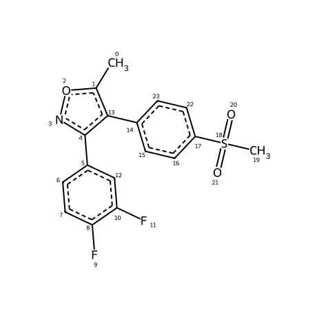 Cc1onc(-c2ccc(F)c(F)c2)c1-c1ccc(S(C)(=O)=O)cc1